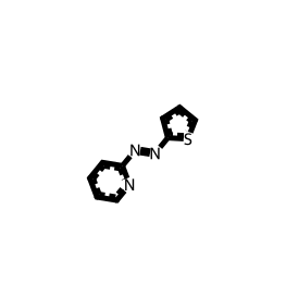 c1ccc(/N=N/c2cccs2)nc1